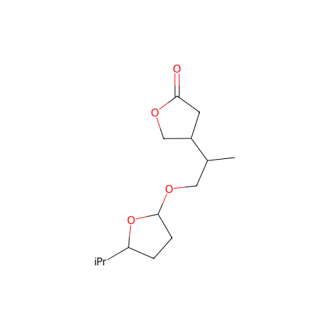 CC(C)C1CCC(OCC(C)C2COC(=O)C2)O1